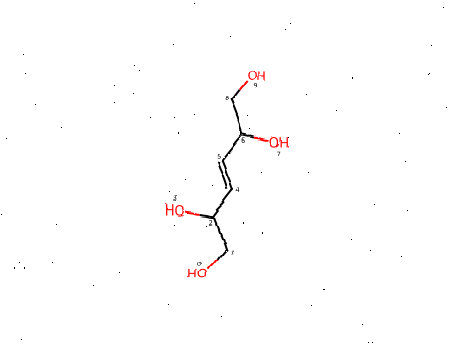 OCC(O)C=CC(O)CO